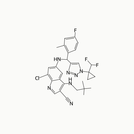 Cc1cc(F)ccc1C(Nc1cc(Cl)c2ncc(C#N)c(NCC(C)(C)C)c2c1)c1cn(C2(C(F)F)CC2)nn1